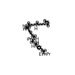 CCCC(CC)C(=O)OCc1ccc(NC(=O)CNC(=O)C(NC(=O)OCCOCCNS(=O)(=O)NC(=O)OCCCNC(=O)CCCCCN2C(=O)C=CC2=O)C(C)C)cc1